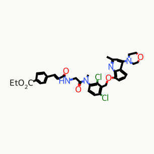 CCOC(=O)c1ccc(/C=C/C(=O)NCC(=O)N(C)c2ccc(Cl)c(COc3cccc4c(N5CCOCC5)cc(C)nc34)c2Cl)cc1